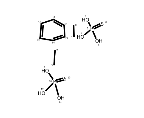 CC.CC.OP(O)(O)=S.OP(O)(O)=S.c1ccccc1